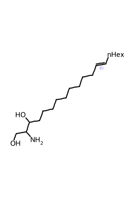 CCCCCC/C=C/CCCCCCCCCC(O)C(N)CO